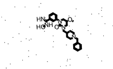 COC1CN(CC2CCN(Cc3ccccc3)CC2)C(=O)N(c2cccc(C(=N)NO)c2)C1